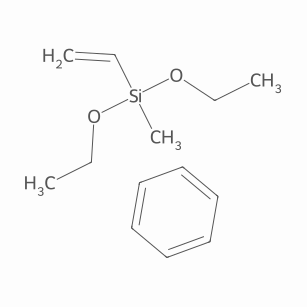 C=C[Si](C)(OCC)OCC.c1ccccc1